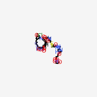 COc1cc2cc(c1Cl)N(C)C(=O)C[C@H](OC(=O)[C@H](C)N(C)C(=O)CCSSC(C)(C)CC(=O)N/N=C(/C)c1ccc(OCCCC(=O)ON3C(=O)CCC3=O)cn1)[C@@]1(C)C[C@H]1[C@H](C)[C@@H]1C[C@@](O)(NC(=O)O1)[C@H](OC)/C=C/C=C(\C)C2